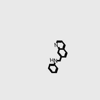 c1ccc(NCc2ccc3cccnc3c2)cc1